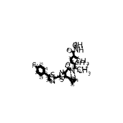 C=C(/C=C\C(=C/C)C(=O)NO)[C@H](C)NC(=O)c1nc(-c2ncc(-c3ccc(F)cc3)s2)sc1C1CC1